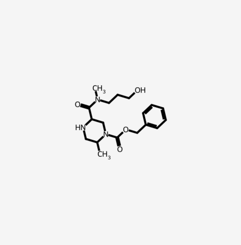 CC1CNC(C(=O)N(C)CCCO)CN1C(=O)OCc1ccccc1